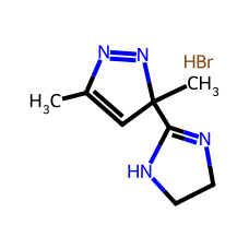 Br.CC1=CC(C)(C2=NCCN2)N=N1